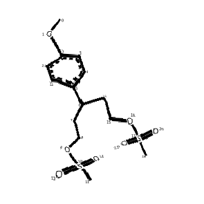 COc1ccc(C(CCOS(C)(=O)=O)CCOS(C)(=O)=O)cc1